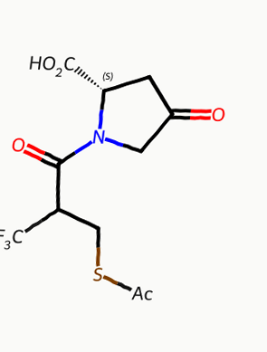 CC(=O)SCC(C(=O)N1CC(=O)C[C@H]1C(=O)O)C(F)(F)F